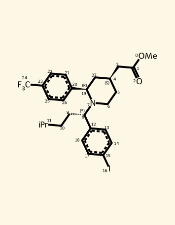 COC(=O)C[C@H]1CCN([C@@H](CCC(C)C)c2ccc(I)cc2)[C@@H](c2ccc(C(F)(F)F)cc2)C1